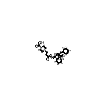 N/C(=N\OC(=O)CCN1CCN(C(=O)O)CC1)[C@@H]1CCCCN1S(=O)(=O)CC1CCCCC1